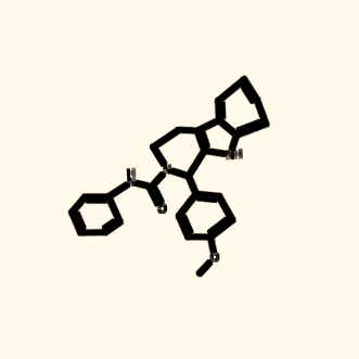 COc1ccc(C2c3[nH]c4ccccc4c3CCN2C(=O)Nc2ccccc2)cc1